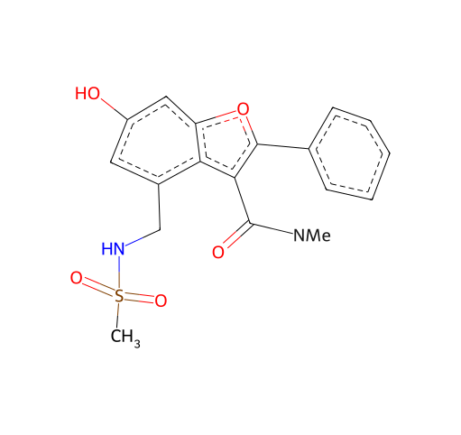 CNC(=O)c1c(-c2ccccc2)oc2cc(O)cc(CNS(C)(=O)=O)c12